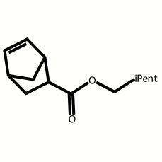 CCCC(C)COC(=O)C1CC2C=CC1C2